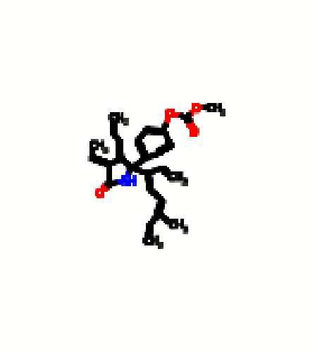 C=C/C=C1\C(=C/C)C(=O)NC1(/C(C=C)=C/C=C(/C)C=C)c1ccc(OC(=O)OC)cc1